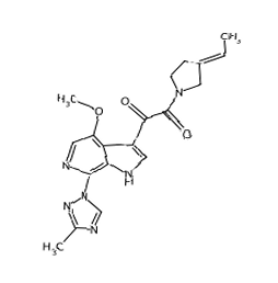 C/C=C1\CCN(C(=O)C(=O)c2c[nH]c3c(-n4cnc(C)n4)ncc(OC)c23)C1